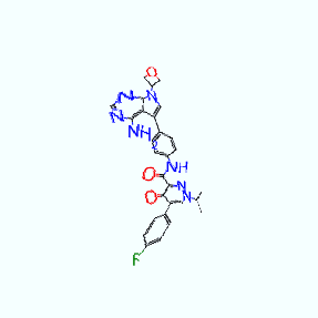 CC(C)n1cc(-c2ccc(F)cc2)c(=O)c(C(=O)Nc2ccc(-c3cn(C4COC4)c4ncnc(N)c34)cc2)n1